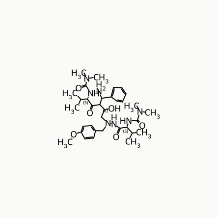 COc1ccc(CN(C[C@H](O)C(C(=O)[C@@H](NC(=O)N(C)C)C(C)C)C(N)c2ccccc2)NC(=O)[C@@H](NC(=O)N(C)C)C(C)C)cc1